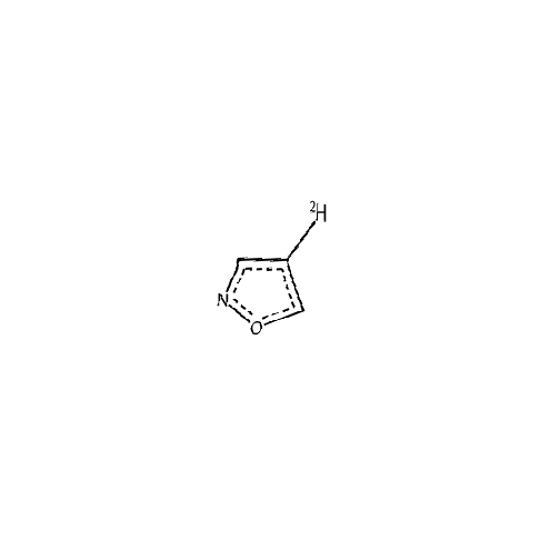 [2H]c1cnoc1